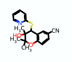 CC1(C)Oc2ccc(C#N)cc2C(Sc2ccccn2)C1(C)O